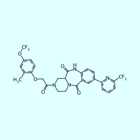 Cc1cc(OC(F)(F)F)ccc1OCC(=O)N1CCN2C(=O)c3cc(-c4cccc(C(F)(F)F)n4)ccc3NC(=O)C2C1